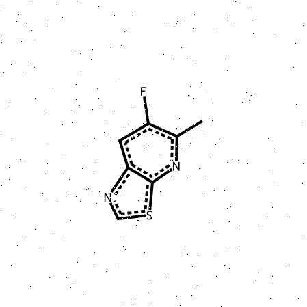 Cc1nc2scnc2cc1F